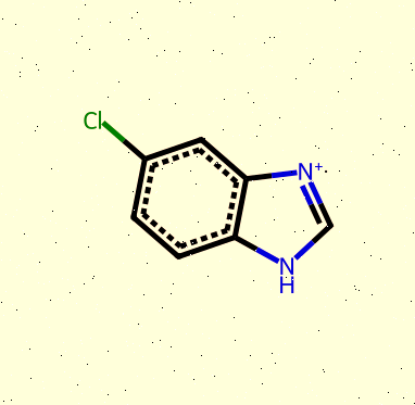 Clc1ccc2c(c1)[N+]=CN2